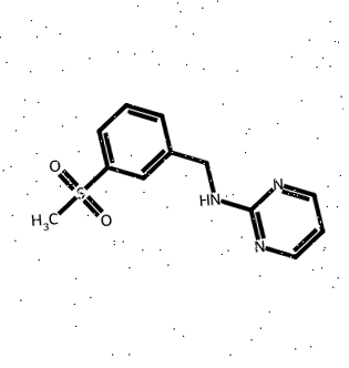 CS(=O)(=O)c1cccc(CNc2ncccn2)c1